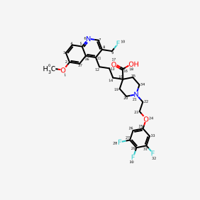 COc1ccc2ncc(CF)c(CCCC3(C(=O)O)CCN(CCOc4cc(F)c(F)c(F)c4)CC3)c2c1